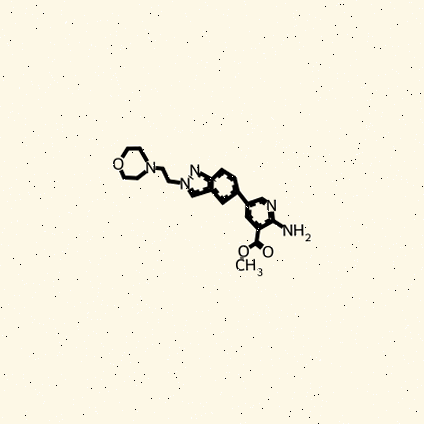 COC(=O)c1cc(-c2ccc3nn(CCN4CCOCC4)cc3c2)cnc1N